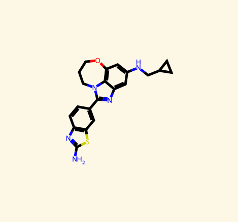 Nc1nc2ccc(-c3nc4cc(NCC5CC5)cc5c4n3CCCO5)cc2s1